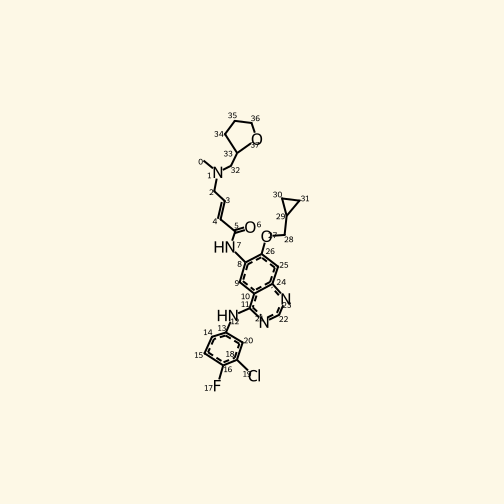 CN(C/C=C/C(=O)Nc1cc2c(Nc3ccc(F)c(Cl)c3)ncnc2cc1OCC1CC1)CC1CCCO1